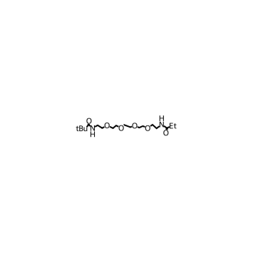 CCC(=O)NCCOCCOCCOCCOCCNC(=O)C(C)(C)C